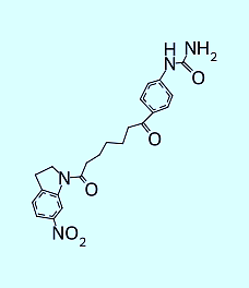 NC(=O)Nc1ccc(C(=O)CCCCCC(=O)N2CCc3ccc([N+](=O)[O-])cc32)cc1